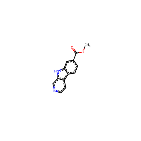 COC(=O)c1ccc2c(c1)[nH]c1cnccc12